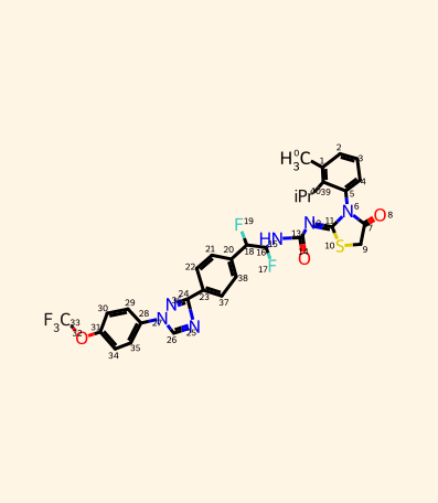 Cc1cccc(N2C(=O)CS/C2=N\C(=O)NC(F)C(F)c2ccc(-c3ncn(-c4ccc(OC(F)(F)F)cc4)n3)cc2)c1C(C)C